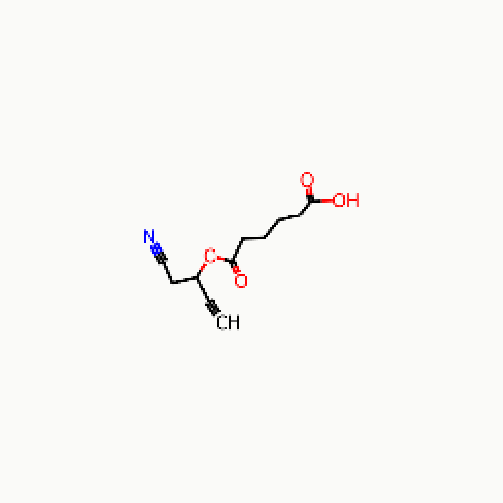 C#CC(CC#N)OC(=O)CCCCC(=O)O